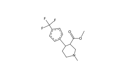 COC(=O)C1CN(C)CCC1c1ccc(C(F)(F)F)cc1